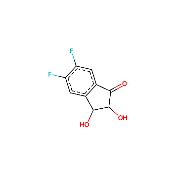 O=C1c2cc(F)c(F)cc2C(O)C1O